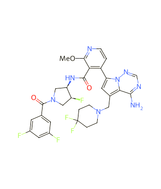 COc1nccc(-c2cc(CN3CCC(F)(F)CC3)c3c(N)ncnn23)c1C(=O)N[C@@H]1CN(C(=O)c2cc(F)cc(F)c2)C[C@@H]1F